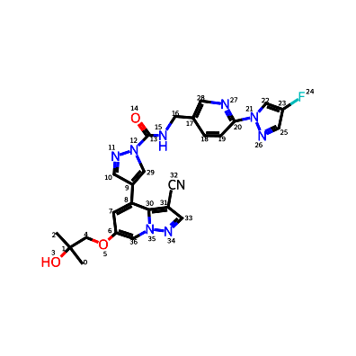 CC(C)(O)COc1cc(-c2cnn(C(=O)NCc3ccc(-n4cc(F)cn4)nc3)c2)c2c(C#N)cnn2c1